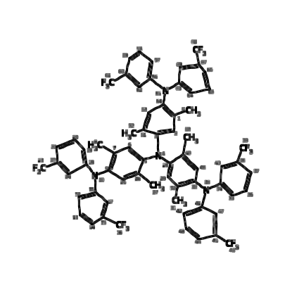 Cc1cc(N(c2cc(C)c(N(c3cccc(C(F)(F)F)c3)c3cccc(C(F)(F)F)c3)cc2C)c2cc(C)c(N(c3cccc(C(F)(F)F)c3)c3cccc(C(F)(F)F)c3)cc2C)c(C)cc1N(c1cccc(C(F)(F)F)c1)c1cccc(C(F)(F)F)c1